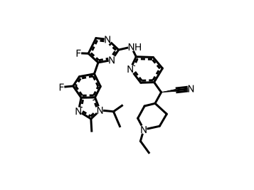 CCN1CCC([C@H](C#N)c2ccc(Nc3ncc(F)c(-c4cc(F)c5nc(C)n(C(C)C)c5c4)n3)nc2)CC1